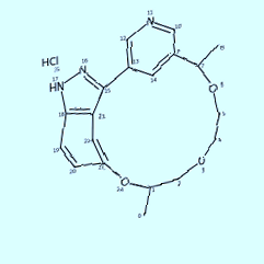 CC1COCCOC(C)c2cncc(c2)-c2n[nH]c3ccc(cc23)O1.Cl